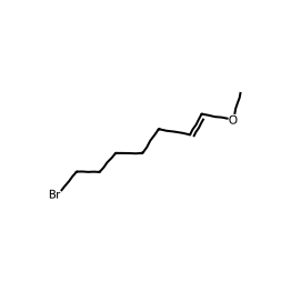 COC=CCCCCCBr